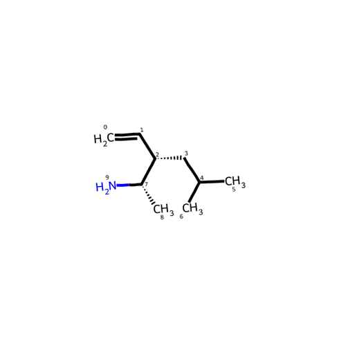 C=C[C@H](CC(C)C)[C@H](C)N